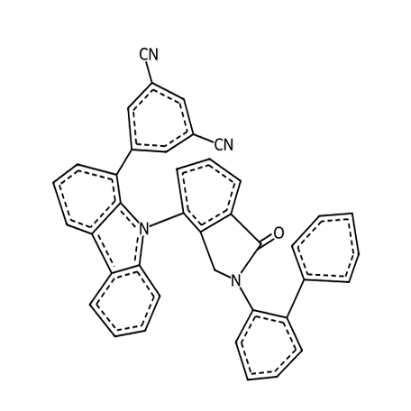 N#Cc1cc(C#N)cc(-c2cccc3c4ccccc4n(-c4cccc5c4CN(c4ccccc4-c4ccccc4)C5=O)c23)c1